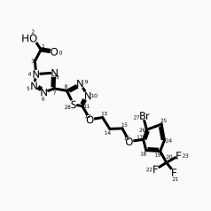 O=C(O)Cn1nnc(-c2nnc(OCCCOc3cc(C(F)(F)F)ccc3Br)s2)n1